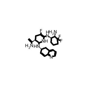 C=C(N)[C@H]1CC(F)=C(N[C@@H]2CCCC(F)(F)[C@@H]2N)NC1N[C@H]1C=Cc2ncccc2C1